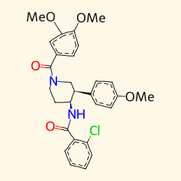 COc1ccc([C@@H]2CN(C(=O)c3ccc(OC)c(OC)c3)CC[C@@H]2NC(=O)c2ccccc2Cl)cc1